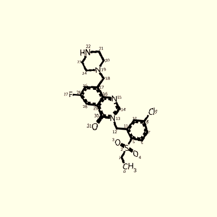 CCS(=O)(=O)c1ccc(Cl)cc1Cn1cnc2c(CN3CCNCC3)cc(F)cc2c1=O